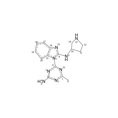 Cc1nc(N)nc(-n2c(NC3CCNC3)nc3ccccc32)n1